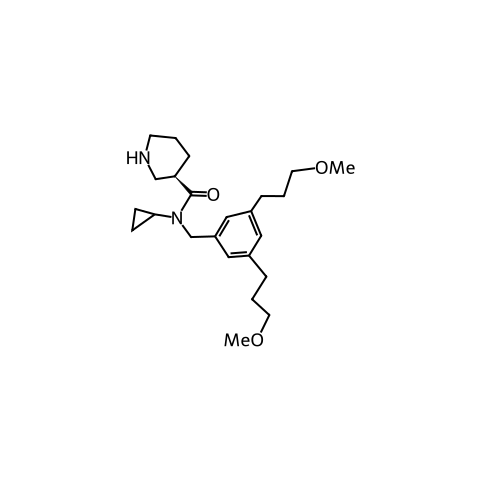 COCCCc1cc(CCCOC)cc(CN(C(=O)[C@@H]2CCCNC2)C2CC2)c1